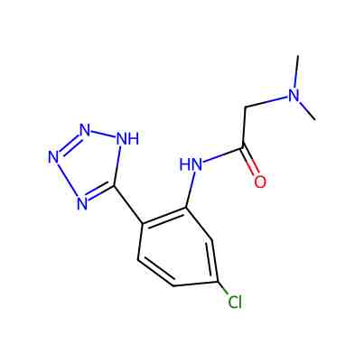 CN(C)CC(=O)Nc1cc(Cl)ccc1-c1nnn[nH]1